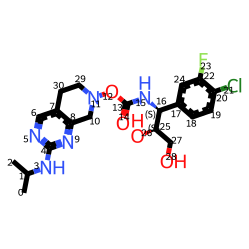 CC(C)Nc1ncc2c(n1)CN(OC(=O)N[C@@H](c1ccc(Cl)c(F)c1)[C@H](O)CO)CC2